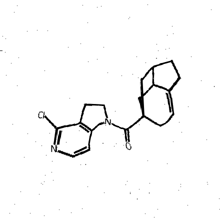 O=C(N1CCc2c1ccnc2Cl)C12CC=C3CCC(C1)C3C2